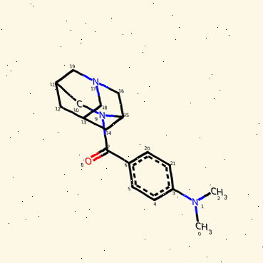 CN(C)c1ccc(C(=O)N2CC3CC4CC2CN(C4)C3)cc1